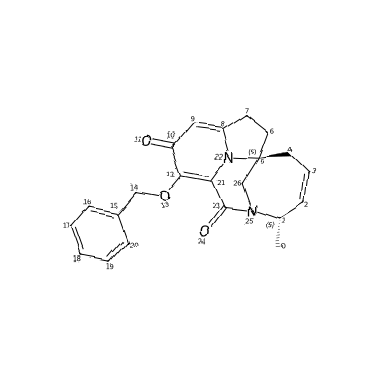 C[C@H]1C=CC[C@]23CCc4cc(=O)c(OCc5ccccc5)c(n42)C(=O)N1C3